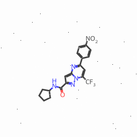 O=C(NC1CCCC1)c1cc2nc(-c3ccc([N+](=O)[O-])cc3)cc(C(F)(F)F)n2n1